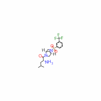 CC(C)C[C@@H](N)C(=O)N1C[C@H]2C[C@@H]1CN2S(=O)(=O)c1cccc(C(F)(F)F)c1